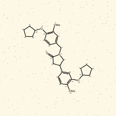 COc1cc(CN2CC(c3ccc(OC)c(OC4CCCC4)c3)CC2=O)ccc1OC1CCCC1